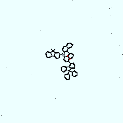 CC1(C)c2ccccc2-c2ccc(N(c3ccc4ccccc4c3-c3ccccc3)C3C=CC(c4cccc5c4-c4ccccc4C5(c4ccccc4)c4ccccc4)=CC3)cc21